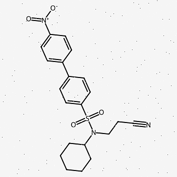 N#CCCN(C1CCCCC1)S(=O)(=O)c1ccc(-c2ccc([N+](=O)[O-])cc2)cc1